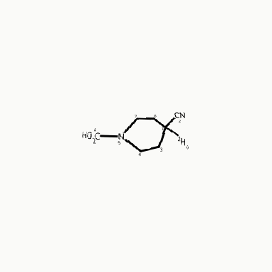 [2H]C1(C#N)CCN(C(=O)O)CC1